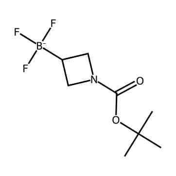 CC(C)(C)OC(=O)N1CC([B-](F)(F)F)C1